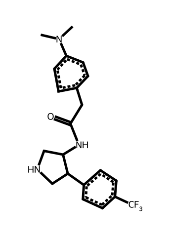 CN(C)c1ccc(CC(=O)NC2CNCC2c2ccc(C(F)(F)F)cc2)cc1